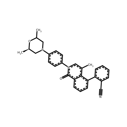 Cc1cn(-c2ccc(N3CC(C)O[C@H](C)C3)cc2)c(=O)c2cccc(-c3ccccc3C#N)c12